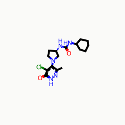 Cc1n[nH]c(=O)c(Cl)c1N1CC[C@@H](NC(=O)NC2CCCCC2)C1